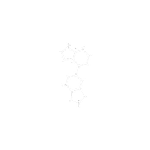 c1cc(-c2cnc3c(c2)CNC3)c2cc[nH]c2n1